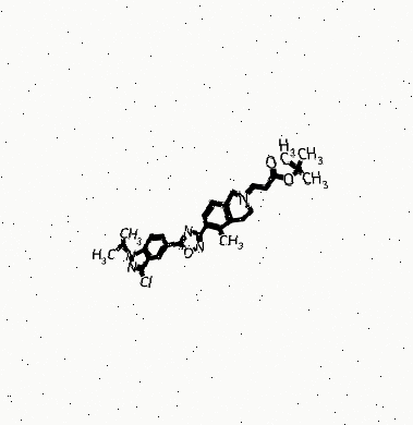 Cc1c(-c2noc(-c3ccc4c(c3)c(Cl)nn4C(C)C)n2)ccc2c1CCN(CCC(=O)OC(C)(C)C)C2